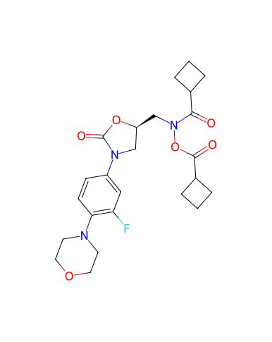 O=C(ON(C[C@H]1CN(c2ccc(N3CCOCC3)c(F)c2)C(=O)O1)C(=O)C1CCC1)C1CCC1